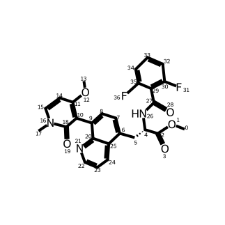 COC(=O)[C@H](Cc1ccc(-c2c(OC)ccn(C)c2=O)c2ncccc12)NC(=O)c1c(F)cccc1F